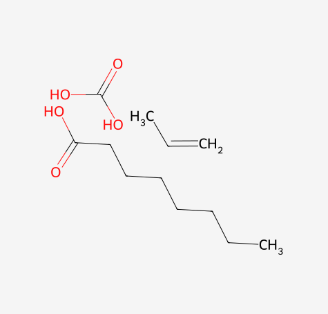 C=CC.CCCCCCCC(=O)O.O=C(O)O